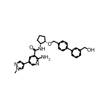 Cn1cc(-c2cnc(N)c(C(=O)N[C@H]3CCC[C@@H]3OCc3ccc(-c4cccc(CO)c4)cc3)c2)cn1